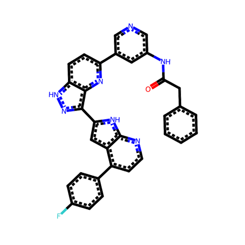 O=C(Cc1ccccc1)Nc1cncc(-c2ccc3[nH]nc(-c4cc5c(-c6ccc(F)cc6)ccnc5[nH]4)c3n2)c1